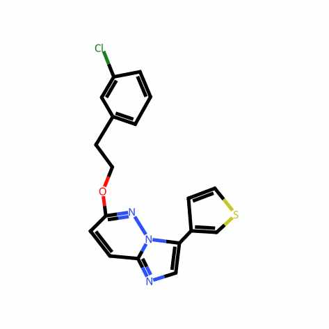 Clc1cccc(CCOc2ccc3ncc(-c4ccsc4)n3n2)c1